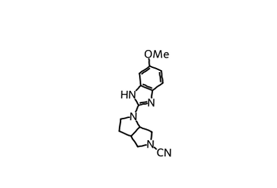 COc1ccc2nc(N3CCC4CN(C#N)CC43)[nH]c2c1